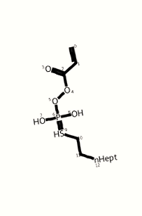 C=CC(=O)OOP(O)(O)=[SH]CCCCCCCCC